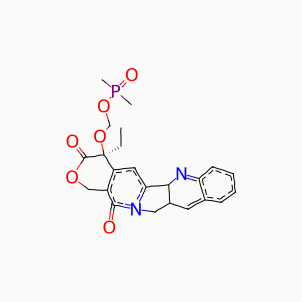 CC[C@@]1(OCOP(C)(C)=O)C(=O)OCc2c1cc1n(c2=O)CC2C=c3ccccc3=NC12